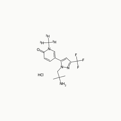 Cl.[2H]C([2H])([2H])n1cc(-c2cc(C(F)(F)F)nn2CC(C)(C)N)ccc1=O